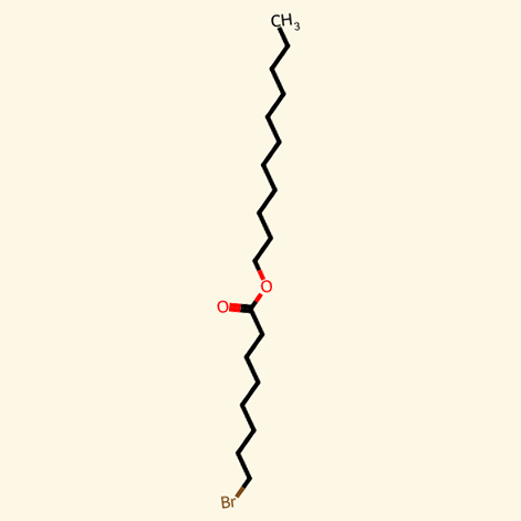 CCCCCCCCCCCOC(=O)CCCCCCCBr